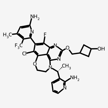 Cc1cc(N)nc(-c2c(Cl)c3c4c(nc(OCC5CC(O)C5)nc4c2F)N([C@H](C)c2cccnc2N)CCO3)c1C(F)(F)F